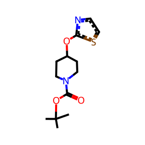 CC(C)(C)OC(=O)N1CCC(Oc2nccs2)CC1